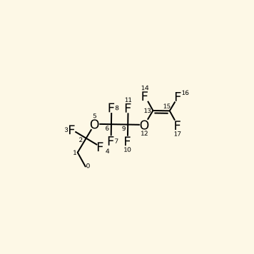 CCC(F)(F)OC(F)(F)C(F)(F)OC(F)=C(F)F